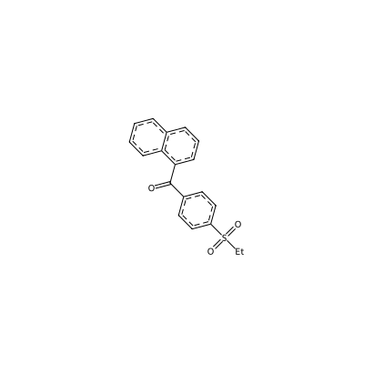 CCS(=O)(=O)c1ccc(C(=O)c2cccc3ccccc23)cc1